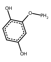 Oc1ccc(O)c(OP)c1